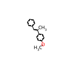 COc1ccc(C(C)=Cc2ccccc2)cc1